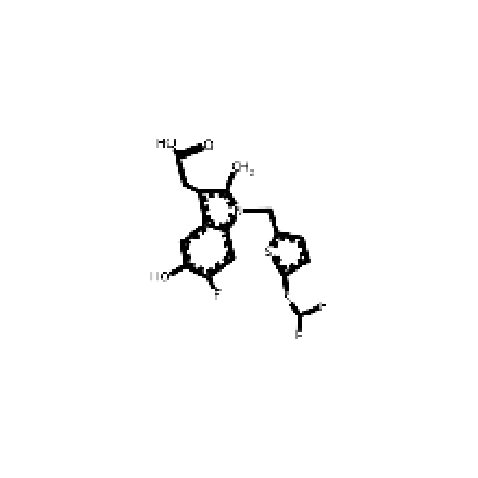 Cc1c(CC(=O)O)c2cc(O)c(F)cc2n1Cc1ccc(SC(F)F)s1